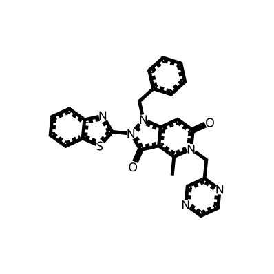 Cc1c2c(=O)n(-c3nc4ccccc4s3)n(Cc3ccccc3)c2cc(=O)n1Cc1cnccn1